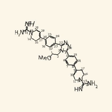 COCCn1c(-c2ccc(C3=CCN(C(=N)N)CC3)cc2)nnc1-c1ccc(C2=CCN(C(=N)N)CC2)cc1